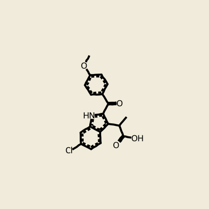 COc1ccc(C(=O)c2[nH]c3cc(Cl)ccc3c2C(C)C(=O)O)cc1